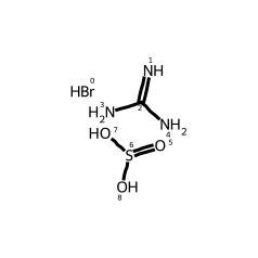 Br.N=C(N)N.O=S(O)O